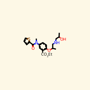 CCOC(=O)c1cc(N(C)C(=O)c2cccs2)ccc1OC(C)CNCC(C)O